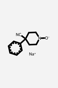 N#CC1(c2ccccc2)CCN([O-])CC1.[Na+]